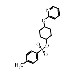 Cc1ccc(S(=O)(=O)OC2CCC(Oc3ccccn3)CC2)cc1